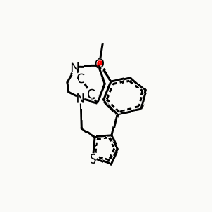 COc1cccc(-c2ccsc2CN2CCN3CCC2CC3)c1